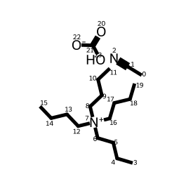 CC#N.CCCC[N+](CCCC)(CCCC)CCCC.O=C([O-])O